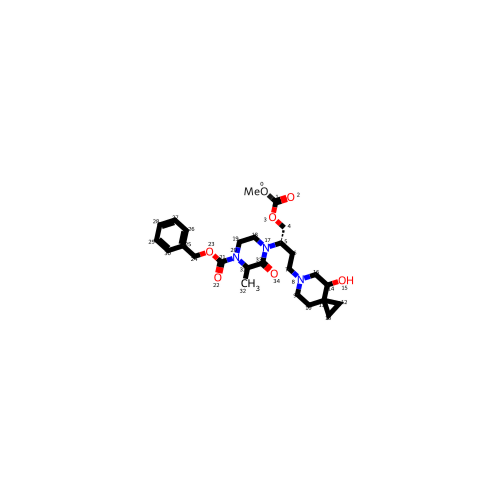 COC(=O)OC[C@H](CCN1CCC2(CC2)C(O)C1)N1CCN(C(=O)OCc2ccccc2)C(C)C1=O